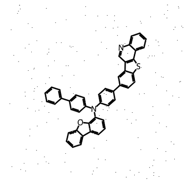 c1ccc(-c2ccc(N(c3ccc(-c4ccc5sc6c7ccccc7ncc6c5c4)cc3)c3cccc4c3oc3ccccc34)cc2)cc1